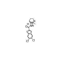 CC1(C)[C@@H](NC(=O)c2cc3cc(Cl)c(Cl)cc3s2)C2CCN1CC2